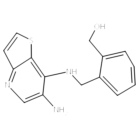 Nc1cnc2ccsc2c1NCc1ccccc1CO